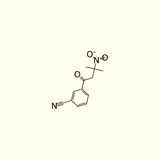 CC(C)(CC(=O)c1cccc(C#N)c1)[N+](=O)[O-]